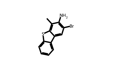 Cc1c(N)c(Br)cc2c1sc1ccccc12